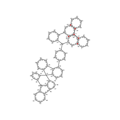 c1ccc(-c2cccc(-c3ccccc3N(c3ccc(-c4cccc5c4-c4ccccc4C54c5ccccc5-n5c6ccccc6c6cccc4c65)cc3)c3cccc(-c4ccccc4)c3)c2)cc1